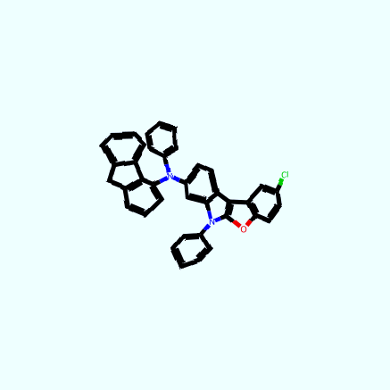 Clc1ccc2oc3c(c2c1)c1ccc(N(c2ccccc2)c2cccc4c2-c2ccccc2C4)cc1n3-c1ccccc1